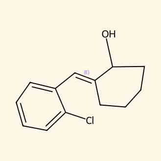 OC1CCCC/C1=C\c1ccccc1Cl